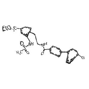 CCOC(=O)c1ccc(CCNC(=O)c2ccc(-c3ccc(Cl)cc3)cc2)c(NS(C)(=O)=O)c1